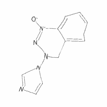 [O-][N+]1=NN(n2ccnc2)Cc2ccccc21